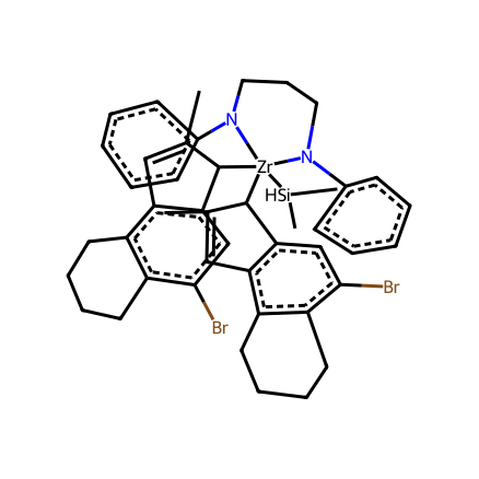 CC1=Cc2c(cc(Br)c3c2CCCC3)[CH]1[Zr]1([CH]2C(C)=Cc3c2cc(Br)c2c3CCCC2)([SiH](C)C)[N](c2ccccc2)CCC[N]1c1ccccc1